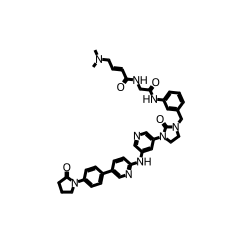 CN(C)C/C=C/C(=O)NCC(=O)Nc1cccc(CN2CCN(c3cncc(Nc4ccc(-c5ccc(N6CCCC6=O)cc5)cn4)c3)C2=O)c1